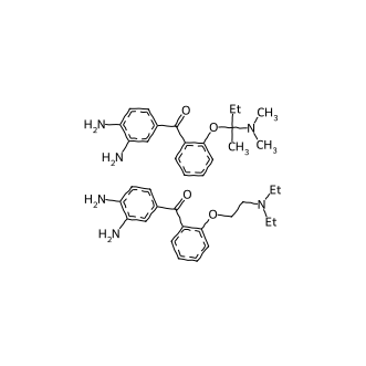 CCC(C)(Oc1ccccc1C(=O)c1ccc(N)c(N)c1)N(C)C.CCN(CC)CCOc1ccccc1C(=O)c1ccc(N)c(N)c1